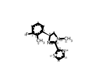 Cc1c(F)cccc1[C@H]1CN(C)C(c2nccs2)=N1